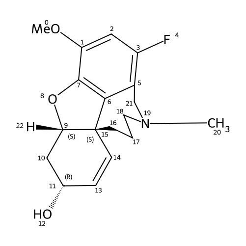 COc1cc(F)c2c3c1O[C@H]1C[C@@H](O)C=C[C@@]31CCCN(C)C2